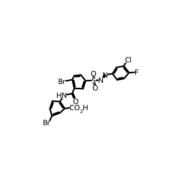 O=C(Nc1ccc(Br)cc1C(=O)O)c1cc(S(=O)(=O)N=Nc2ccc(F)c(Cl)c2)ccc1Br